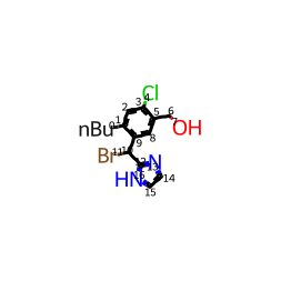 CCCCc1cc(Cl)c(CO)cc1C(Br)c1ncc[nH]1